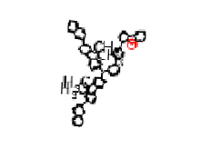 CC1(C)c2cc(-c3ccc4ccccc4c3)ccc2-c2ccc(C(c3cccc(-c4ccc(-c5cccc6c5oc5ccccc56)cc4)c3)c3ccc4c(c3)C(C)(C)c3cc(-c5ccc6ccccc6c5)ccc3-4)cc21